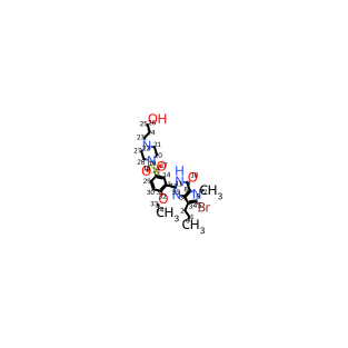 CCCc1c(Br)n(C)c2c(=O)[nH]c(-c3cc(S(=O)(=O)N4CCN(CCCO)CC4)ccc3OCC)nc12